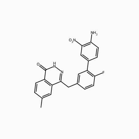 Cc1ccc2c(=O)[nH]nc(Cc3ccc(F)c(-c4ccc(N)c([N+](=O)[O-])c4)c3)c2c1